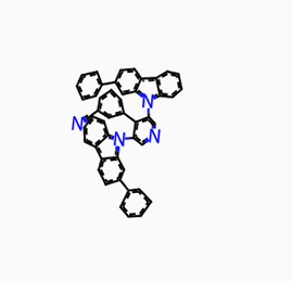 N#Cc1cccc(-c2c(-n3c4ccccc4c4ccc(-c5ccccc5)cc43)cncc2-n2c3ccccc3c3ccc(-c4ccccc4)cc32)c1